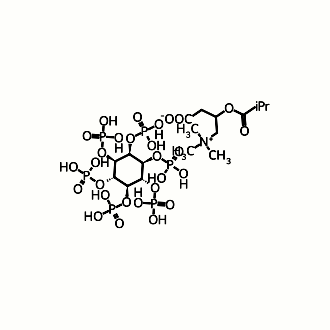 CC(C)C(=O)OC(CC(=O)[O-])C[N+](C)(C)C.O=P(O)(O)O[C@H]1[C@H](OP(=O)(O)O)[C@@H](OP(=O)(O)O)[C@H](OP(=O)(O)O)[C@@H](OP(=O)(O)O)[C@H]1OP(=O)(O)O